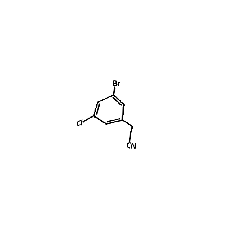 N#CCc1cc(Cl)cc(Br)c1